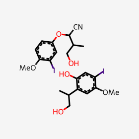 COc1cc(C(C)CO)c(O)cc1I.COc1ccc(OC(C#N)C(C)CO)cc1I